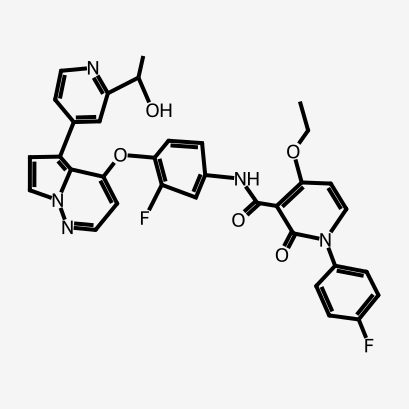 CCOc1ccn(-c2ccc(F)cc2)c(=O)c1C(=O)Nc1ccc(Oc2ccnn3ccc(-c4ccnc(C(C)O)c4)c23)c(F)c1